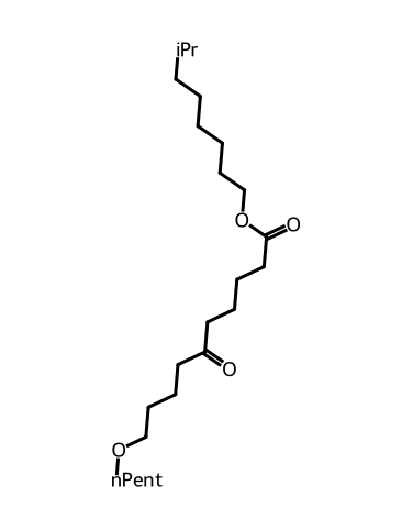 CCCCCOCCCCC(=O)CCCCC(=O)OCCCCCCC(C)C